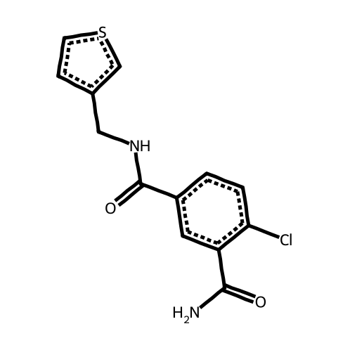 NC(=O)c1cc(C(=O)NCc2ccsc2)ccc1Cl